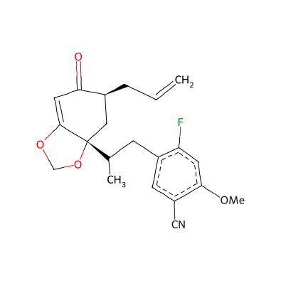 C=CC[C@H]1C[C@]2(C(C)Cc3cc(C#N)c(OC)cc3F)OCOC2=CC1=O